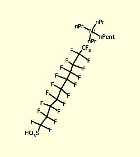 CCCCC[N+](CCC)(CCC)CCC.O=S(=O)(O)C(F)(F)C(F)(F)C(F)(F)C(F)(F)C(F)(F)C(F)(F)C(F)(F)C(F)(F)C(F)(F)C(F)(F)F